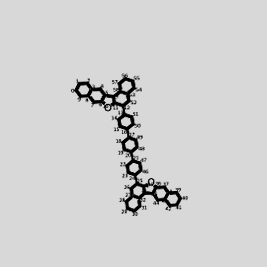 c1ccc2cc3c(cc2c1)oc1c(-c2ccc(-c4ccc(-c5ccc(-c6cc7ccccc7c7c6oc6cc8ccccc8cc67)cc5)cc4)cc2)cc2ccccc2c13